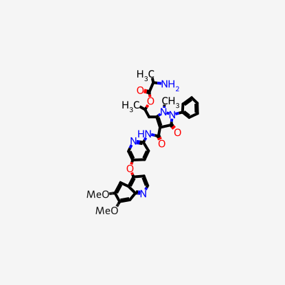 COc1cc2nccc(Oc3ccc(NC(=O)c4c(CC(C)OC(=O)C(C)N)n(C)n(-c5ccccc5)c4=O)nc3)c2cc1OC